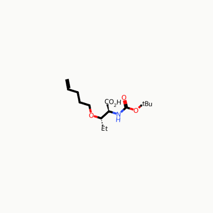 C=CCCCO[C@@H](CC)[C@H](NC(=O)OC(C)(C)C)C(=O)O